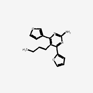 CCCCc1c(-c2ccoc2)nc(N)nc1-c1ccco1